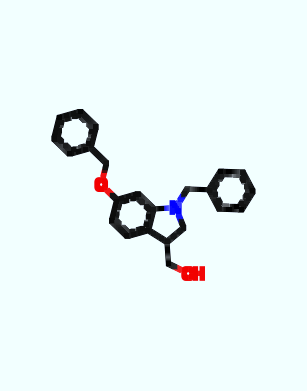 OCC1CN(Cc2ccccc2)c2cc(OCc3ccccc3)ccc21